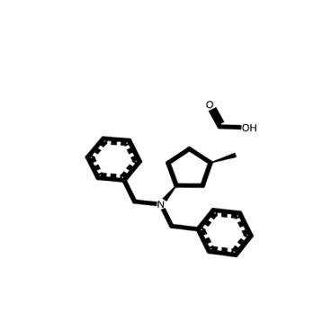 C[C@@H]1CC[C@H](N(Cc2ccccc2)Cc2ccccc2)C1.O=CO